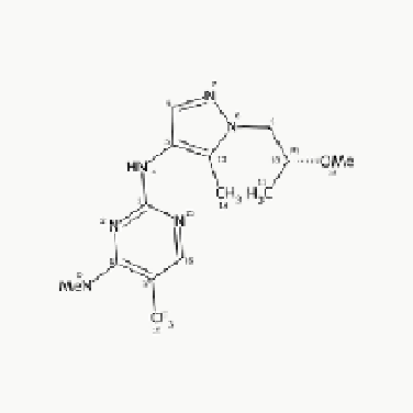 CNc1nc(Nc2cnn(C[C@@H](C)OC)c2C)ncc1C(F)(F)F